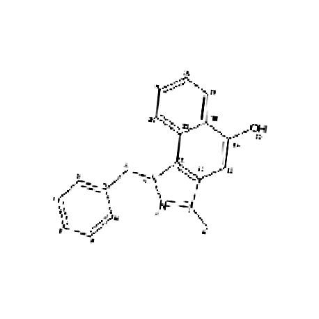 Cc1nn(Cc2ccccc2)c2c1cc(O)c1ccccc12